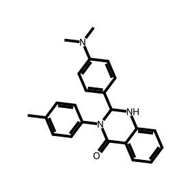 Cc1ccc(N2C(=O)c3ccccc3NC2c2ccc(N(C)C)cc2)cc1